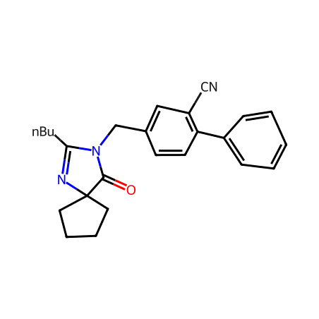 CCCCC1=NC2(CCCC2)C(=O)N1Cc1ccc(-c2ccccc2)c(C#N)c1